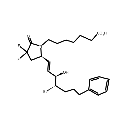 CC[C@@H](CCCc1ccccc1)[C@H](O)C=C[C@H]1CC(F)(F)C(=O)N1CCCCCCC(=O)O